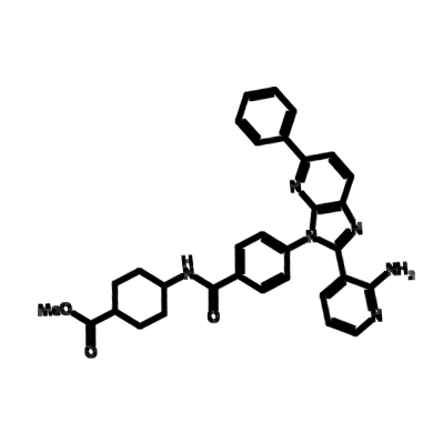 COC(=O)C1CCC(NC(=O)c2ccc(-n3c(-c4cccnc4N)nc4ccc(-c5ccccc5)nc43)cc2)CC1